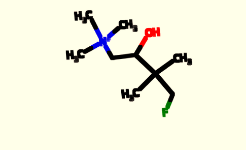 CC(C)(CF)C(O)C[N+](C)(C)C